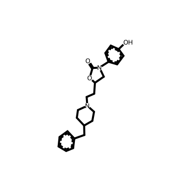 O=C1OC(CCN2CCC(Cc3ccccc3)CC2)CN1c1ccc(O)cc1